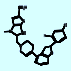 CN1c2cc(C(=O)O)sc2NC1CN1CC=C(c2cccc3c2CC(c2ccc(Cl)cc2F)O3)CC1